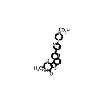 C[C@@H]1CNc2c(sc3ccc4nc(-c5ccc(N6CCN(C(=O)O)CC6)nc5)ccc4c23)C(=O)N1